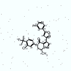 C[C@H]1CN(c2ccc(C(F)(F)F)c(Cl)c2)C(=O)c2c(-c3cc(-c4cncc(F)c4)on3)cnn21